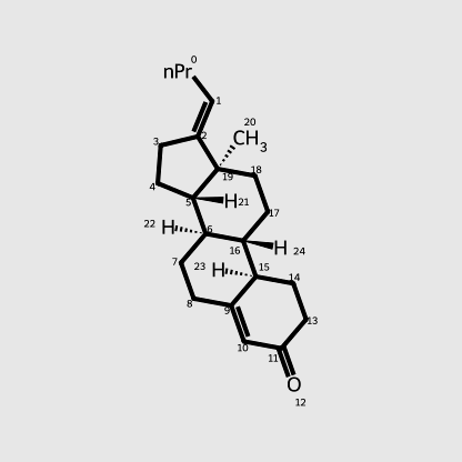 CCCC=C1CC[C@H]2[C@@H]3CCC4=CC(=O)CC[C@@H]4[C@H]3CC[C@]12C